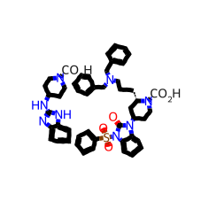 O=C(O)N1CCC(Nc2nc3ccccc3[nH]2)CC1.O=C(O)N1CCC(n2c(=O)n(S(=O)(=O)c3ccccc3)c3ccccc32)C[C@@H]1CCCN(Cc1ccccc1)Cc1ccccc1